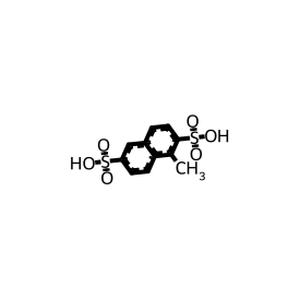 Cc1c(S(=O)(=O)O)ccc2cc(S(=O)(=O)O)ccc12